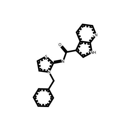 O=C(/N=c1\sccn1Cc1ccccc1)c1c[nH]c2ncccc12